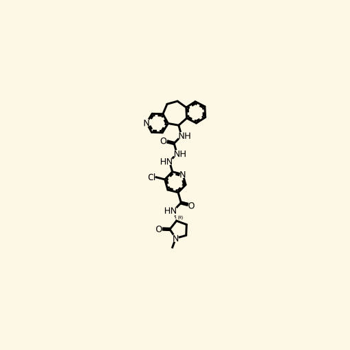 CN1CC[C@@H](NC(=O)c2cnc(NNC(=O)NC3c4ccccc4CCc4cnccc43)c(Cl)c2)C1=O